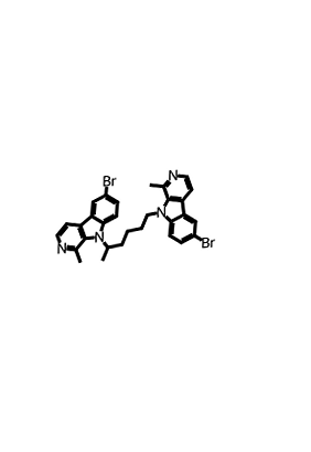 Cc1nccc2c3cc(Br)ccc3n(CCCCC(C)n3c4ccc(Br)cc4c4ccnc(C)c43)c12